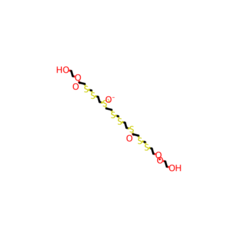 O=C(CSCSCC[S+]([O-])CCSCSCCSC(=O)CSCSCCOOCCO)OCCO